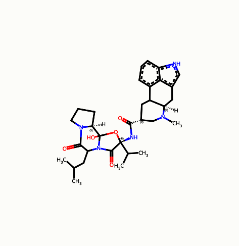 CC(C)CC1C(=O)N2CCC[C@H]2C2(O)O[C@](NC(=O)[C@@H]3CC4c5cccc6[nH]cc(c56)C[C@H]4N(C)C3)(C(C)C)C(=O)N12